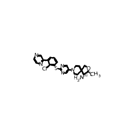 C[C@@H]1OCC2(CCN(c3cnc(Sc4cccc(-c5cnccn5)c4Cl)nc3)CC2)[C@@H]1N